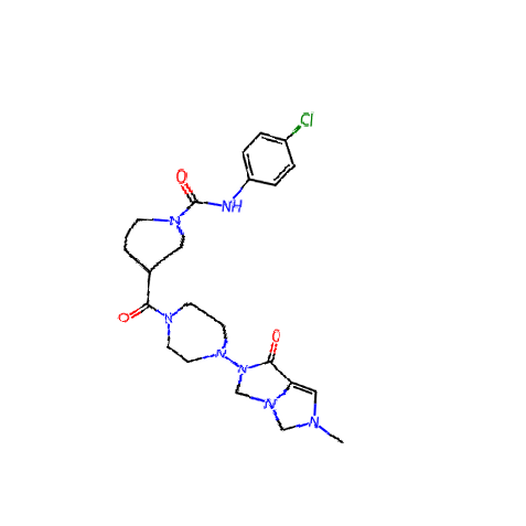 CN1C=C2C(=O)N(N3CCN(C(=O)C4CCN(C(=O)Nc5ccc(Cl)cc5)C4)CC3)CN2C1